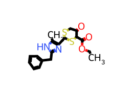 CCOC(=O)C1SC(c2nc(Cc3ccccc3)[nH]c2C)SCC1=O